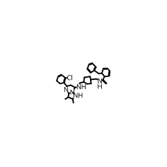 C=C(NCC1CCC(CNC2CC(C3=C(Cl)C=CCC3)=NC3C(C)C(C)NN23)CC1)C1C=CC=CC1Cc1ccccc1